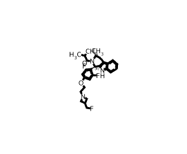 CC(C)C(=O)N1[C@H](c2c(F)cc(OCCN3CC(CF)C3)cc2F)c2[nH]c3ccccc3c2C[C@H]1C